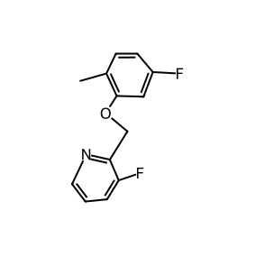 Cc1ccc(F)cc1OCc1ncccc1F